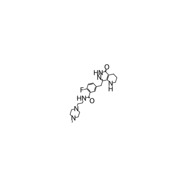 CN1CCN(CCNC(=O)c2cc(Cc3n[nH]c(=O)c4c3NCCC4)ccc2F)CC1